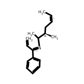 C=C/C(=N\C(C)[C@H](C)C/C=C\C)c1ccccc1